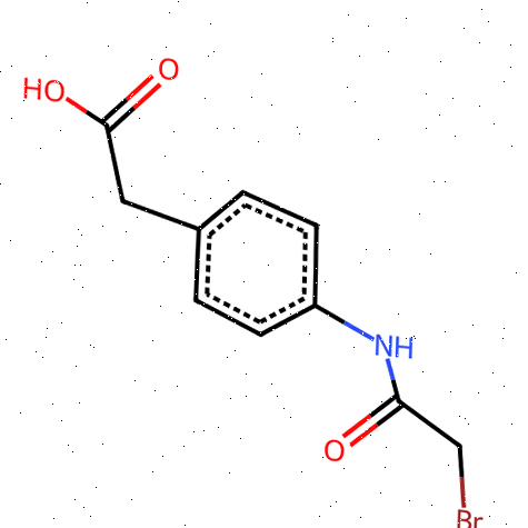 O=C(O)Cc1ccc(NC(=O)CBr)cc1